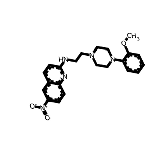 COc1ccccc1N1CCN(CCNc2ccc3cc([N+](=O)[O-])ccc3n2)CC1